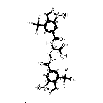 O=C(NC[C@H](NC(=O)c1cc2c(c(C(F)(F)F)c1)COB2O)C(=O)O)c1cc2c(c(C(F)(F)F)c1)COB2O